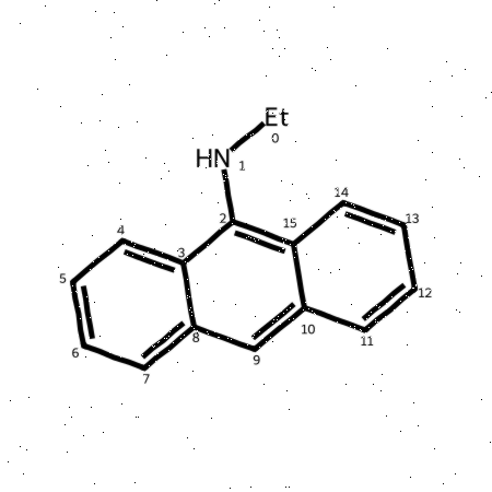 [CH2]CNc1c2ccccc2cc2ccccc12